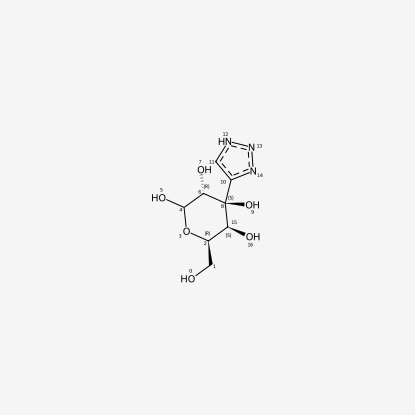 OC[C@H]1OC(O)[C@H](O)[C@](O)(c2c[nH]nn2)[C@H]1O